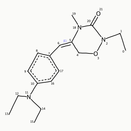 CCN1OC/C(=C\c2ccc(N(CC)CC)cc2)N(C)C1=O